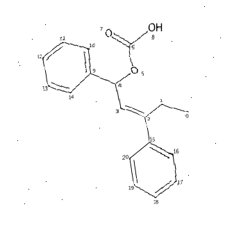 CCC(=CC(OC(=O)O)c1ccccc1)c1ccccc1